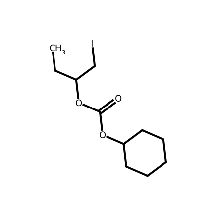 CCC(CI)OC(=O)OC1CCCCC1